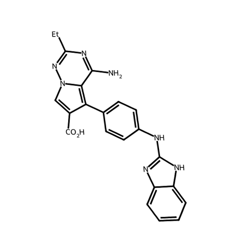 CCc1nc(N)c2c(-c3ccc(Nc4nc5ccccc5[nH]4)cc3)c(C(=O)O)cn2n1